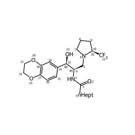 CCCCCCCC(=O)N[C@H](CN1CCC[C@H]1C(F)(F)F)[C@H](O)c1ccc2c(c1)OCCO2